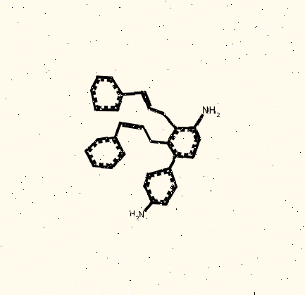 Nc1ccc(-c2ccc(N)c(CC=Cc3ccccc3)c2CC=Cc2ccccc2)cc1